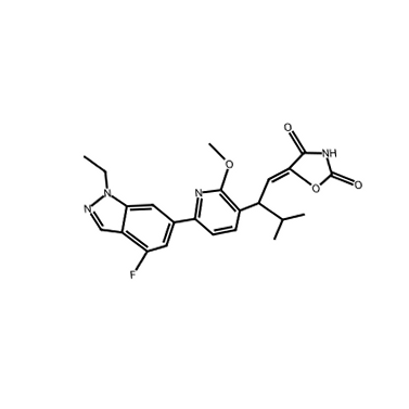 CCn1ncc2c(F)cc(-c3ccc(C(/C=C4\OC(=O)NC4=O)C(C)C)c(OC)n3)cc21